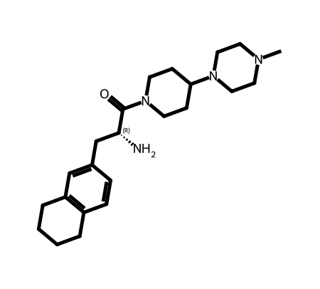 CN1CCN(C2CCN(C(=O)[C@H](N)Cc3ccc4c(c3)CCCC4)CC2)CC1